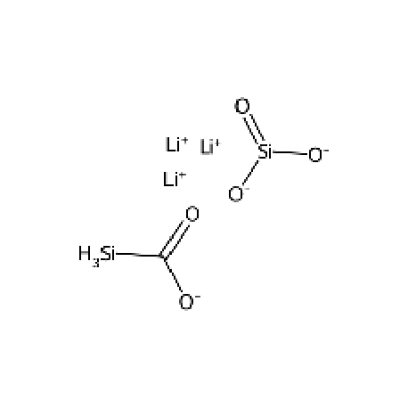 O=C([O-])[SiH3].O=[Si]([O-])[O-].[Li+].[Li+].[Li+]